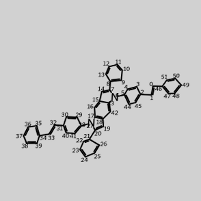 C(=C\c1ccc(-n2c(-c3ccccc3)cc3cc4c(cc(-c5ccccc5)n4-c4ccc(/C=C/c5ccccc5)cc4)cc32)cc1)/c1ccccc1